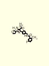 Cc1ccc(F)cc1C(=O)NCc1ccc(-c2nn(C3CCOC3)c(N)c2C(N)=O)cc1